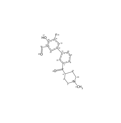 CN1CCC(C(=O)c2cccc(-c3cc(F)c(O)c(C=O)c3)c2)CC1